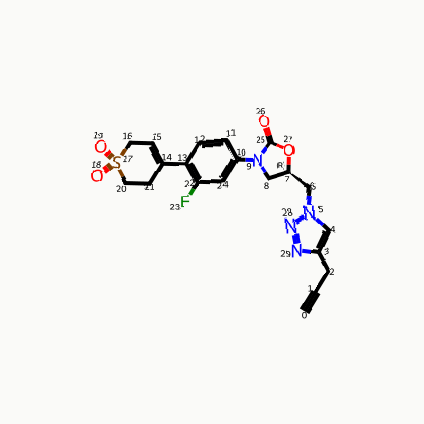 C#CCc1cn(C[C@H]2CN(c3ccc(C4=CCS(=O)(=O)CC4)c(F)c3)C(=O)O2)nn1